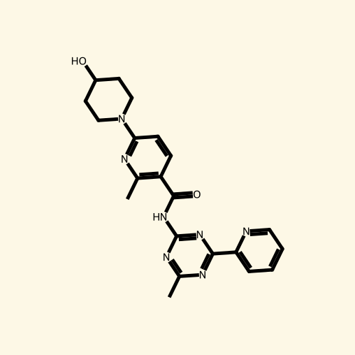 Cc1nc(NC(=O)c2ccc(N3CCC(O)CC3)nc2C)nc(-c2ccccn2)n1